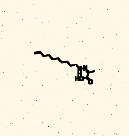 C=CCCCCCCCCN/N=C(/C)C(=O)O